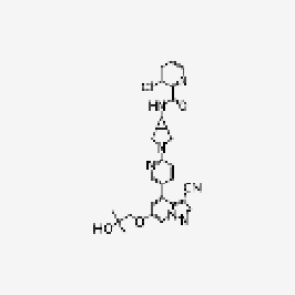 CC(C)(O)COc1cc(-c2ccc(N3CC4C(C3)C4NC(=O)c3ncccc3Cl)nc2)c2c(C#N)cnn2c1